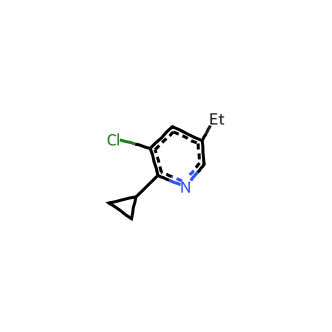 CCc1cnc(C2CC2)c(Cl)c1